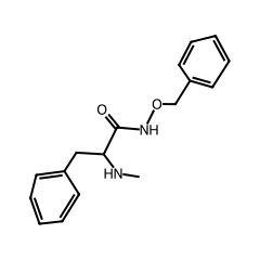 CNC(Cc1ccccc1)C(=O)NOCc1ccccc1